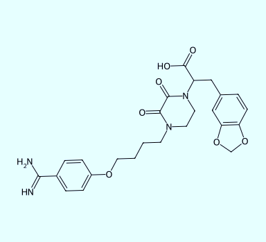 N=C(N)c1ccc(OCCCCN2CCN(C(Cc3ccc4c(c3)OCO4)C(=O)O)C(=O)C2=O)cc1